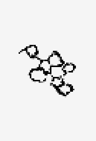 Cc1cccc(-c2c3ccccc3c(-c3nc4ccccc4n3-c3ccccc3)c3ccccc23)c1